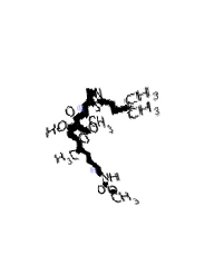 COC(=O)N/C=C/CCC(C)c1cc(O)c(C(=O)/C(C)=C/c2cnc(CCC(C)C)s2)c(=O)o1